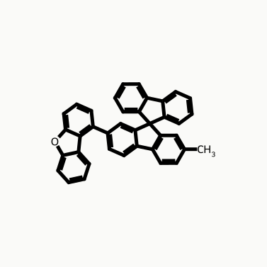 Cc1ccc2c(c1)C1(c3ccccc3-c3ccccc31)c1cc(-c3cccc4oc5ccccc5c34)ccc1-2